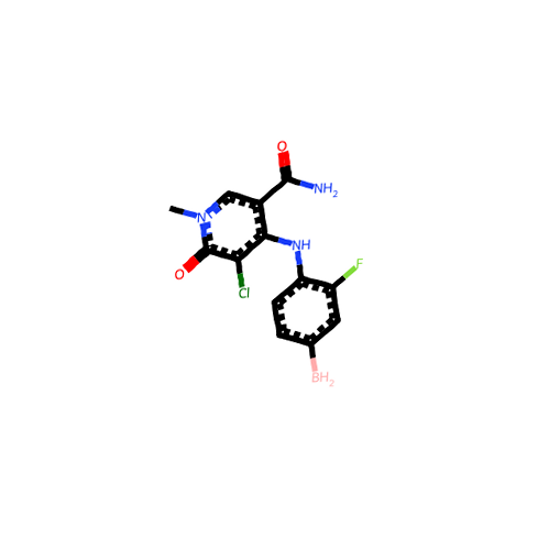 Bc1ccc(Nc2c(C(N)=O)cn(C)c(=O)c2Cl)c(F)c1